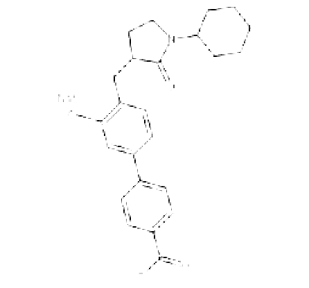 O=C([O-])c1ccc(-c2ccc(CC3CCN(C4CCCCC4)C3=O)c(Cl)c2)cc1.[Na+]